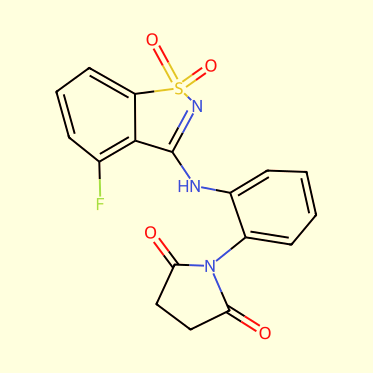 O=C1CCC(=O)N1c1ccccc1NC1=NS(=O)(=O)c2cccc(F)c21